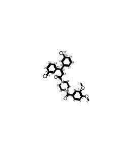 COc1ccc(C(=O)N2CCN(C(=O)C=C(c3cccc(Cl)c3)c3cccc(Cl)c3)CC2)cc1OC